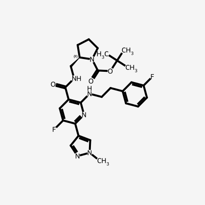 Cn1cc(-c2nc(NCCc3cccc(F)c3)c(C(=O)NC[C@H]3CCCN3C(=O)OC(C)(C)C)cc2F)cn1